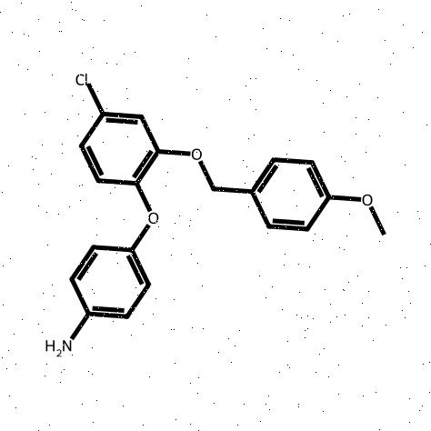 COc1ccc(COc2cc(Cl)ccc2Oc2ccc(N)cc2)cc1